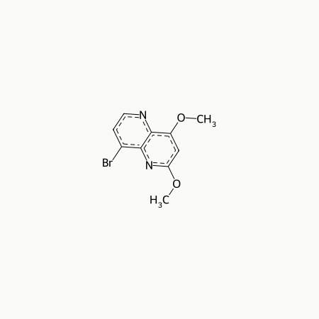 COc1cc(OC)c2nccc(Br)c2n1